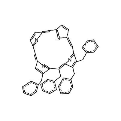 C1=CC2=NC1=CC1=NC(=C(Cc3ccccc3)C3=NC(=CC4=NC(=C2)C=C4)C=C3Cc2ccccc2)C(Cc2ccccc2)=C1Cc1ccccc1